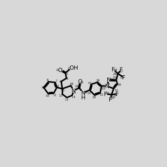 O=C(O)CCC1(c2ccccc2)CCCN(C(=O)Nc2ccc(-n3nc(C(F)(F)F)cc3C(F)(F)F)cc2)C1